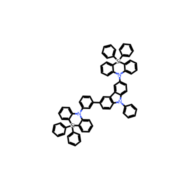 c1ccc(-n2c3ccc(-c4cccc(N5c6ccccc6[Si](c6ccccc6)(c6ccccc6)c6ccccc65)c4)cc3c3cc(N4c5ccccc5[Si](c5ccccc5)(c5ccccc5)c5ccccc54)ccc32)cc1